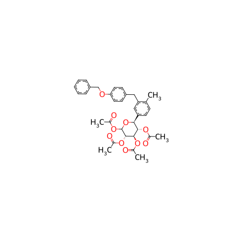 CC(=O)OC1O[C@@H](c2ccc(C)c(Cc3ccc(OCc4ccccc4)cc3)c2)[C@H](OC(C)=O)[C@@H](OC(C)=O)[C@@H]1OC(C)=O